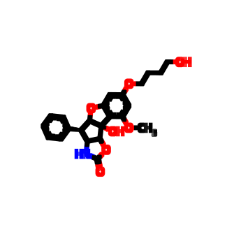 COc1cc(OCCCCO)cc2c1[C@]1(O)C3OC(=O)NC3[C@@H](c3ccccc3)C1O2